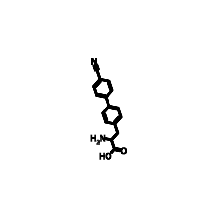 N#Cc1ccc(-c2ccc(CC(N)C(=O)O)cc2)cc1